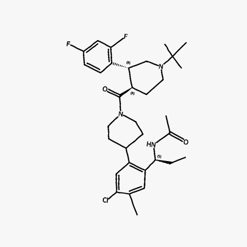 CC[C@H](NC(C)=O)c1cc(C)c(Cl)cc1C1CCN(C(=O)[C@@H]2CCN(C(C)(C)C)C[C@H]2c2ccc(F)cc2F)CC1